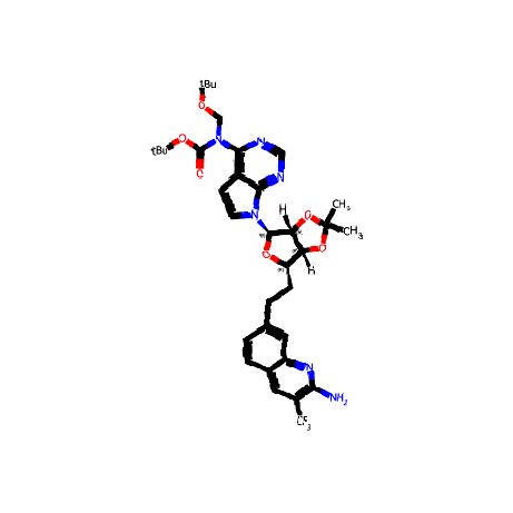 CC(C)(C)OCN(C(=O)OC(C)(C)C)c1ncnc2c1ccn2[C@@H]1O[C@H](CCc2ccc3cc(C(F)(F)F)c(N)nc3c2)[C@H]2OC(C)(C)O[C@H]21